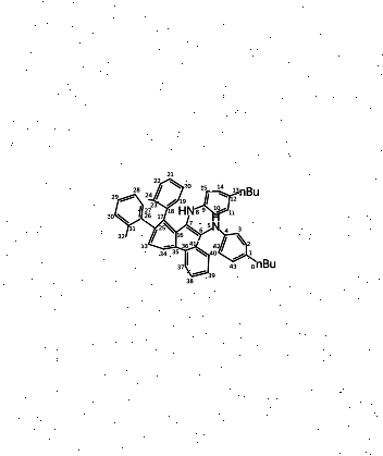 CCCCc1ccc(Nc2c(Nc3ccc(CCCC)cc3)c3c(-c4ccccc4C)c(-c4ccccc4C)ccc3c3ccccc23)cc1